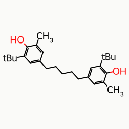 Cc1cc(CCCCCc2cc(C)c(O)c(C(C)(C)C)c2)cc(C(C)(C)C)c1O